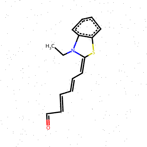 CCN1C(=CC=CC=CC=O)Sc2ccccc21